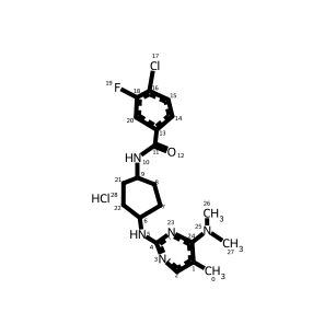 Cc1cnc(NC2CCC(NC(=O)c3ccc(Cl)c(F)c3)CC2)nc1N(C)C.Cl